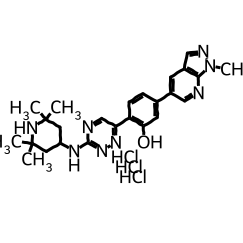 Cl.Cl.Cl.Cn1ncc2cc(-c3ccc(-c4cnc(NC5CC(C)(C)NC(C)(C)C5)nn4)c(O)c3)cnc21